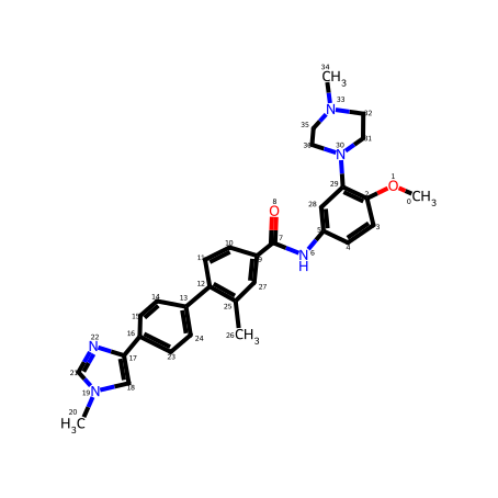 COc1ccc(NC(=O)c2ccc(-c3ccc(-c4cn(C)cn4)cc3)c(C)c2)cc1N1CCN(C)CC1